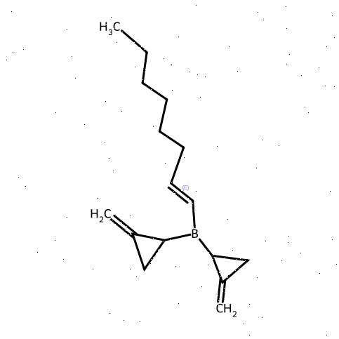 C=C1CC1B(/C=C/CCCCCC)C1CC1=C